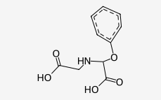 O=C(O)CNC(Oc1ccccc1)C(=O)O